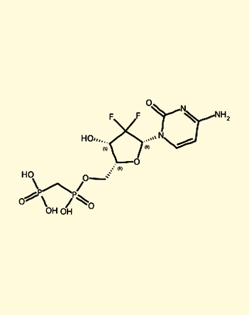 Nc1ccn([C@@H]2O[C@H](COP(=O)(O)CP(=O)(O)O)[C@H](O)C2(F)F)c(=O)n1